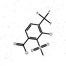 CS(=O)(=O)c1c(C(=O)Cl)ccc(C(F)(F)F)c1Cl